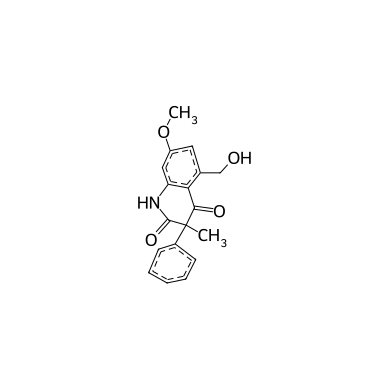 COc1cc(CO)c2c(c1)NC(=O)C(C)(c1ccccc1)C2=O